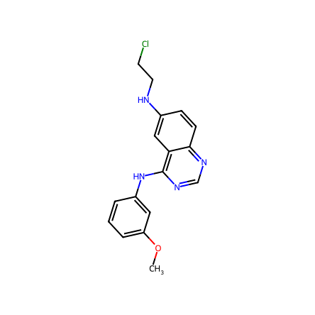 COc1cccc(Nc2ncnc3ccc(NCCCl)cc23)c1